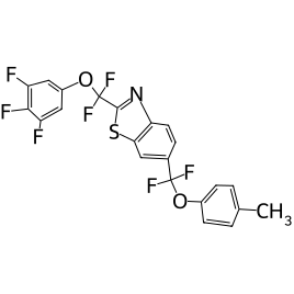 Cc1ccc(OC(F)(F)c2ccc3nc(C(F)(F)Oc4cc(F)c(F)c(F)c4)sc3c2)cc1